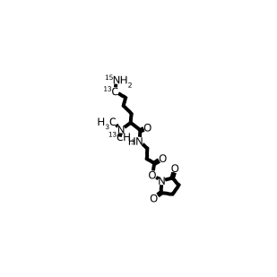 CN([13CH3])C(CCC[13CH2][15NH2])C(=O)NCCC(=O)ON1C(=O)CCC1=O